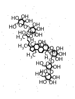 CC[C@@]12CCC([C@H](C)CC[C@@H](O[C@@H]3O[C@H](CO[C@@H]4O[C@H](CO)[C@@H](O)[C@H](O)[C@H]4O)[C@@H](O)[C@H](O)[C@H]3O)C(C)(C)O)[C@@]1(C)C[C@@H](O)[C@@]1(C)C3CC[C@H](O[C@@H]4O[C@H](CO[C@@H]5O[C@H](CO)[C@@H](O)[C@H](O[C@@H]6O[C@H](CO)[C@@H](O)[C@H](O)[C@H]6O)[C@H]5O)[C@@H](O)[C@H](O)[C@H]4O)C(C)(C)C3=CCC12